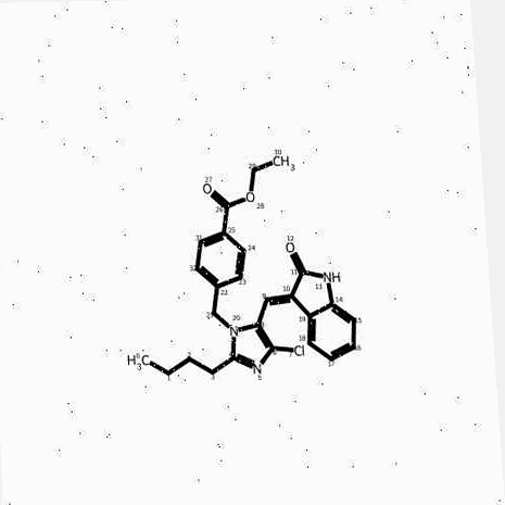 CCCCc1nc(Cl)c(C=C2C(=O)Nc3ccccc32)n1Cc1ccc(C(=O)OCC)cc1